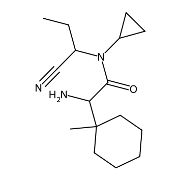 CCC(C#N)N(C(=O)C(N)C1(C)CCCCC1)C1CC1